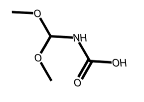 COC(NC(=O)O)OC